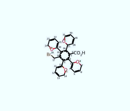 O=C(O)c1c(C2=CC=CCO2)c(C2=CC=CCO2)c(CBr)c(C2=CC=CCO2)c1C1C=CC=CO1